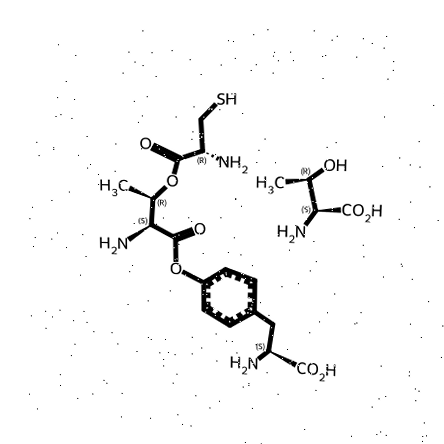 C[C@@H](O)[C@H](N)C(=O)O.C[C@@H](OC(=O)[C@@H](N)CS)[C@H](N)C(=O)Oc1ccc(C[C@H](N)C(=O)O)cc1